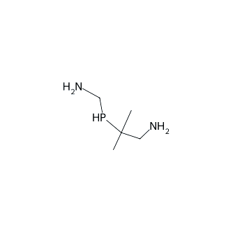 CC(C)(CN)PCN